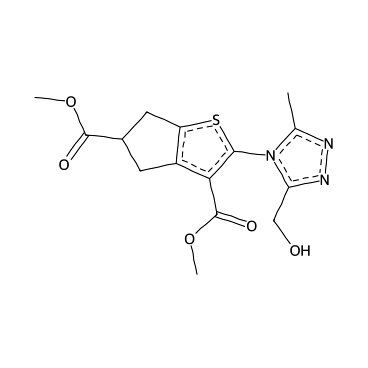 COC(=O)c1c(-n2c(C)nnc2CO)sc2c1CC(C(=O)OC)C2